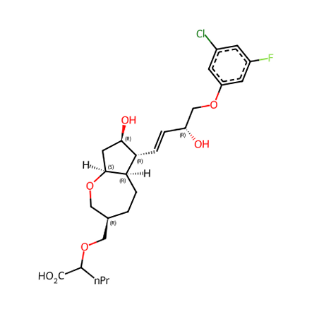 CCCC(OC[C@@H]1CC[C@@H]2[C@@H](C=C[C@@H](O)COc3cc(F)cc(Cl)c3)[C@H](O)C[C@@H]2OC1)C(=O)O